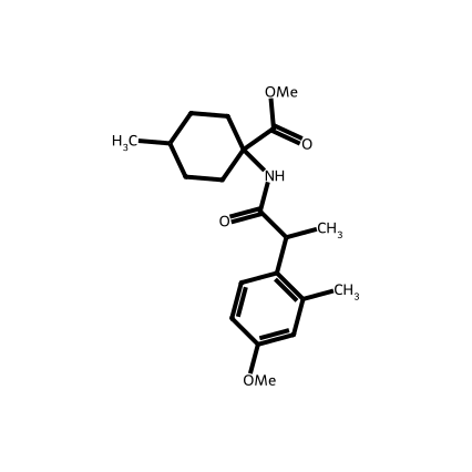 COC(=O)C1(NC(=O)C(C)c2ccc(OC)cc2C)CCC(C)CC1